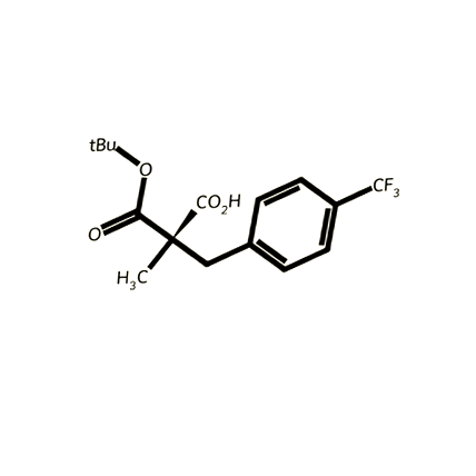 CC(C)(C)OC(=O)[C@@](C)(Cc1ccc(C(F)(F)F)cc1)C(=O)O